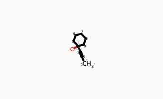 CC#CC1([O])CCCCC1